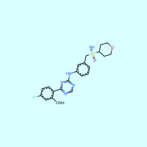 COc1cc(F)ccc1-c1ncnc(Nc2cccc(CS(=N)(=O)C3CCOCC3)c2)n1